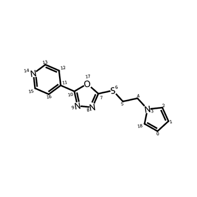 c1ccn(CCSc2nnc(-c3ccncc3)o2)c1